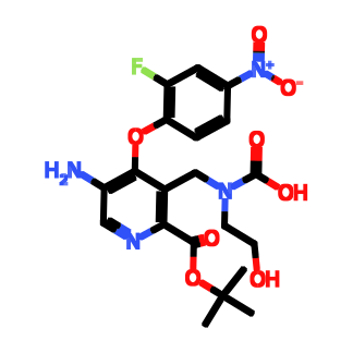 CC(C)(C)OC(=O)c1ncc(N)c(Oc2ccc([N+](=O)[O-])cc2F)c1CN(CCO)C(=O)O